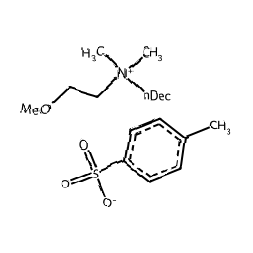 CCCCCCCCCC[N+](C)(C)CCOC.Cc1ccc(S(=O)(=O)[O-])cc1